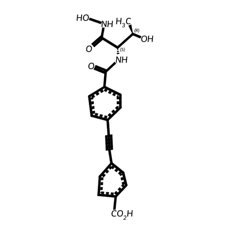 C[C@@H](O)[C@H](NC(=O)c1ccc(C#Cc2ccc(C(=O)O)cc2)cc1)C(=O)NO